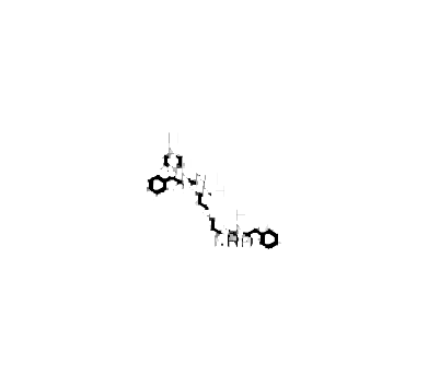 N=C(CCSCCC(=N)SC(=N)NC(=O)C(c1ccccc1)N1CCNCC1)SC(=N)NC(=O)Cc1ccccc1